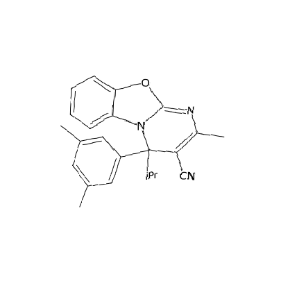 CC1=C(C#N)C(c2cc(C)cc(C)c2)(C(C)C)N2C(=N1)Oc1ccccc12